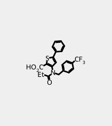 CCC(=O)N(Cc1ccc(C(F)(F)F)cc1)c1cc(-c2ccccc2)sc1C(=O)O